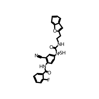 N#Cc1cc(N(S)C(=O)NCCc2cc3ccccc3o2)ccc1NC(=O)c1ccccc1F